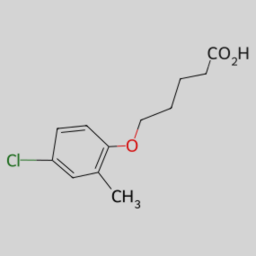 Cc1cc(Cl)ccc1OCCCCC(=O)O